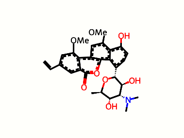 C=Cc1cc(OC)c2c(c1)c(=O)oc1c2cc(OC)c2c(O)ccc([C@H]3O[C@H](C)[C@@H](O)[C@@H](N(C)C)[C@@H]3O)c21